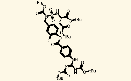 CC(C)(C)OC(=O)C[C@H](NS(=O)(=O)N(Cc1ccc(OC(=O)c2ccc(NC(=NC(=O)OC(C)(C)C)NC(=O)OC(C)(C)C)cc2)c(Cl)c1)C(=O)OC(C)(C)C)C(=O)OC(C)(C)C